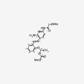 CNCC(=O)Nc1ccc(/N=N/c2ccccc2OC(C)OC(=O)OC)c(N)n1